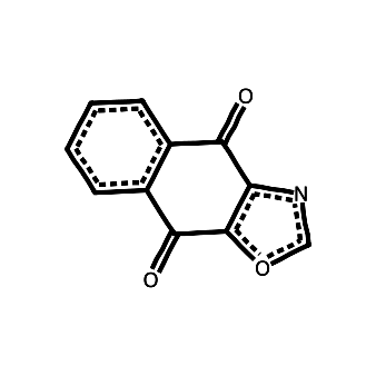 O=C1c2ccccc2C(=O)c2ocnc21